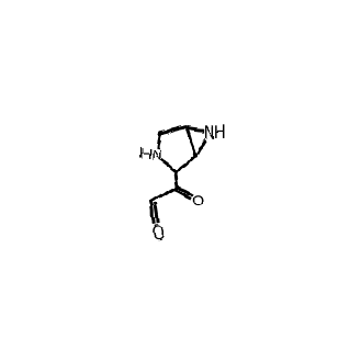 O=CC(=O)C1NCC2NC21